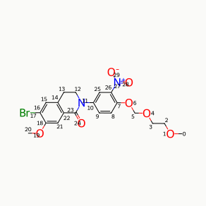 COCCOCOc1ccc(N2CCc3cc(Br)c(OC)cc3C2=O)cc1[N+](=O)[O-]